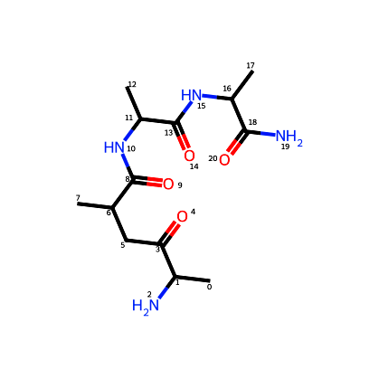 CC(N)C(=O)CC(C)C(=O)NC(C)C(=O)NC(C)C(N)=O